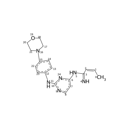 C/C=C\C(=N)Nc1ccnc(Nc2ccc(N3CCOCC3)cc2)n1